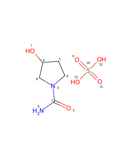 NC(=O)N1CCC(O)C1.O=S(=O)(O)O